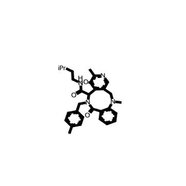 Cc1ccc(CN2C(=O)c3ccccc3N(C)Cc3cnc(C)c(O)c3C2C(=O)NCCC(C)C)cc1